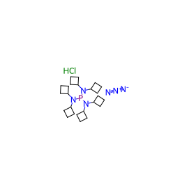 C1CC(N(C2CCC2)P(N(C2CCC2)C2CCC2)N(C2CCC2)C2CCC2)C1.Cl.[N-]=[N+]=[N-]